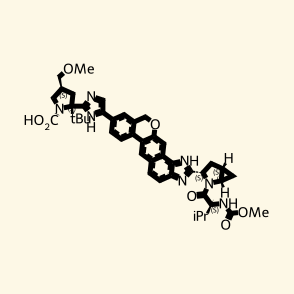 COC[C@@H]1CN(C(=O)O)[C@](c2ncc(-c3ccc4c(c3)COc3cc5c(ccc6nc([C@@H]7C[C@@H]8C[C@@H]8N7C(=O)[C@@H](NC(=O)OC)C(C)C)[nH]c65)cc3-4)[nH]2)(C(C)(C)C)C1